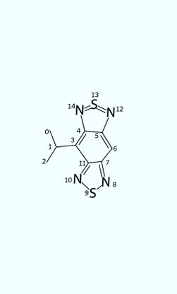 CC(C)c1c2c(cc3nsnc13)N=S=N2